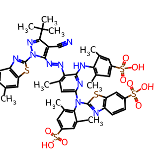 Cc1ccc2nc(-n3nc(C(C)(C)C)c(C#N)c3N=Nc3c(C)cc(N(c4nc5ccc(S(=O)(=O)O)cc5s4)c4c(C)cc(S(=O)(=O)O)cc4C)nc3Nc3c(C)cc(S(=O)(=O)O)cc3C)sc2c1